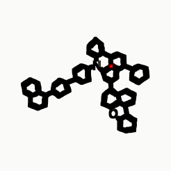 c1ccc(-c2ccc(-c3ccccc3N(c3ccc(-c4ccc(-c5cccc6ccccc56)cc4)cc3)c3cccc(-c4ccc5c6c(cccc46)-c4ccccc4O5)c3)cc2)cc1